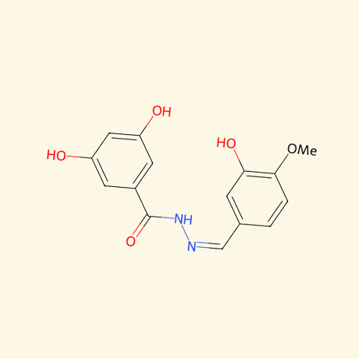 COc1ccc(/C=N\NC(=O)c2cc(O)cc(O)c2)cc1O